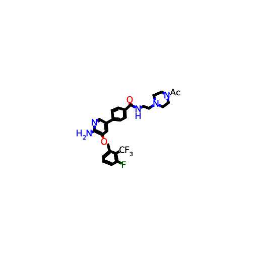 CC(=O)N1CCN(CCNC(=O)c2ccc(-c3cnc(N)c(OCc4cccc(F)c4C(F)(F)F)c3)cc2)CC1